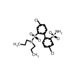 CCCN(CCC)S(=O)(=O)c1cc(Cl)ccc1-c1ccc(Cl)cc1S(N)(=O)=O